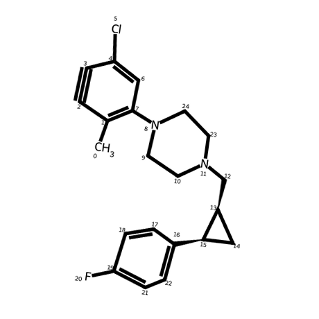 Cc1c#cc(Cl)cc1N1CCN(C[C@H]2C[C@H]2c2ccc(F)cc2)CC1